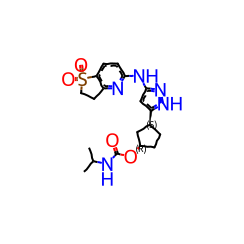 CC(C)NC(=O)O[C@@H]1CC[C@H](c2cc(Nc3ccc4c(n3)CCS4(=O)=O)n[nH]2)C1